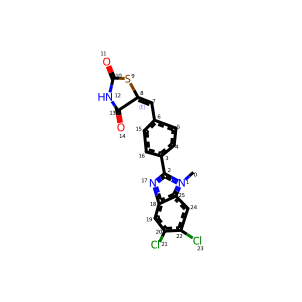 Cn1c(-c2ccc(/C=C3/SC(=O)NC3=O)cc2)nc2cc(Cl)c(Cl)cc21